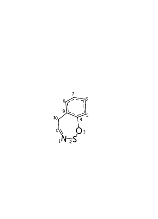 C1=NSOc2ccccc2C1